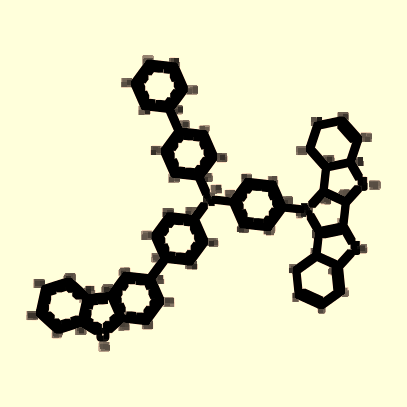 C1=CCC2C(=C1)SC1=C2N(c2ccc(N(c3ccc(-c4ccccc4)cc3)c3ccc(-c4ccc5oc6ccccc6c5c4)cc3)cc2)C2C1SC1C=CCCC12